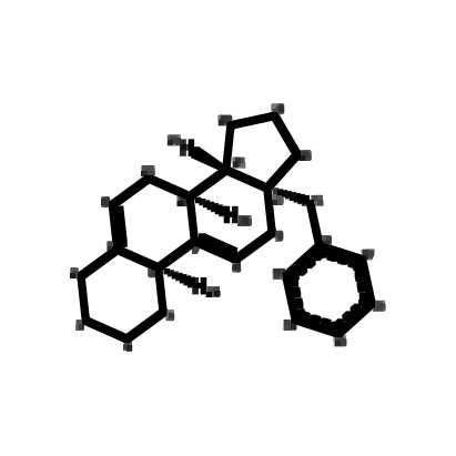 C1=C2CCCC[C@@H]2C2=CC[C@]3(Cc4ccccc4)CCC[C@H]3[C@@H]2C1